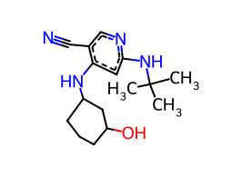 CC(C)(C)Nc1cc(NC2CCCC(O)C2)c(C#N)cn1